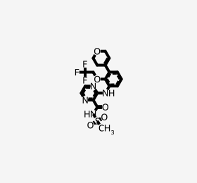 CS(=O)(=O)NC(=O)c1nccnc1Nc1cccc(C2=CCOCC2)c1OCC(F)(F)F